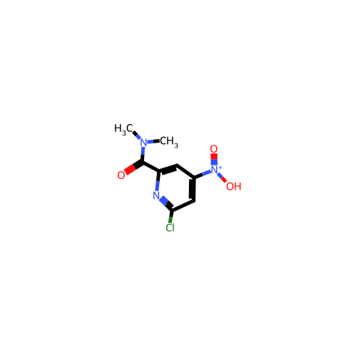 CN(C)C(=O)c1cc([N+](=O)O)cc(Cl)n1